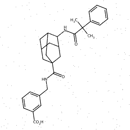 CC(C)(C(=O)NC1C2CC3CC1CC(C(=O)NCc1cccc(C(=O)O)c1)(C3)C2)c1ccccc1